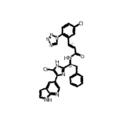 O=C(/C=C/c1cc(Cl)ccc1-n1cnnn1)N[C@@H](Cc1ccccc1)c1nc(-c2cnc3[nH]ccc3c2)c(Cl)[nH]1